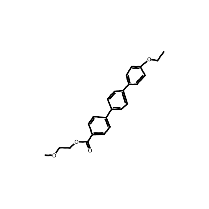 CCOc1ccc(-c2ccc(-c3ccc(C(=O)OCCOC)cc3)cc2)cc1